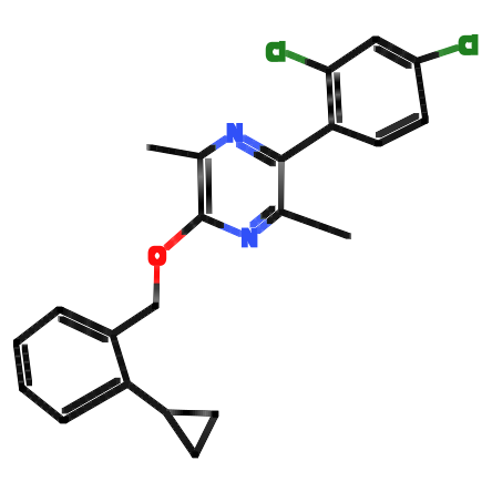 Cc1nc(-c2ccc(Cl)cc2Cl)c(C)nc1OCc1ccccc1C1CC1